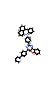 c1ccc(-c2ccc(-c3nc(-c4ccc(N5c6ccccc6-c6cccc7cccc5c67)cc4)nc4c3oc3ccccc34)cc2)nc1